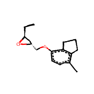 CC[C@@H]1O[C@H]1COc1ccc(C)c2c1CCC2